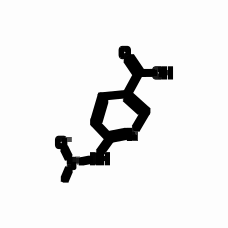 C[S+]([O-])Nc1ccc(C(=O)O)cn1